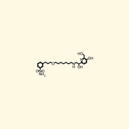 NS(=O)(=O)c1cccc(CCCOCCCCCCCNCC(O)c2ccc(O)c(CO)n2)c1